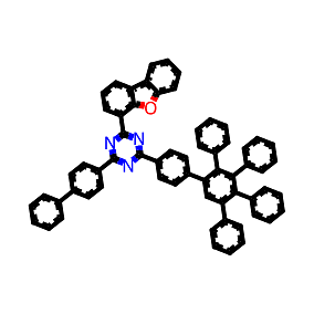 c1ccc(-c2ccc(-c3nc(-c4ccc(-c5cc(-c6ccccc6)c(-c6ccccc6)c(-c6ccccc6)c5-c5ccccc5)cc4)nc(-c4cccc5c4oc4ccccc45)n3)cc2)cc1